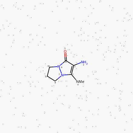 CNc1c(N)c(=O)n2n1CCC2